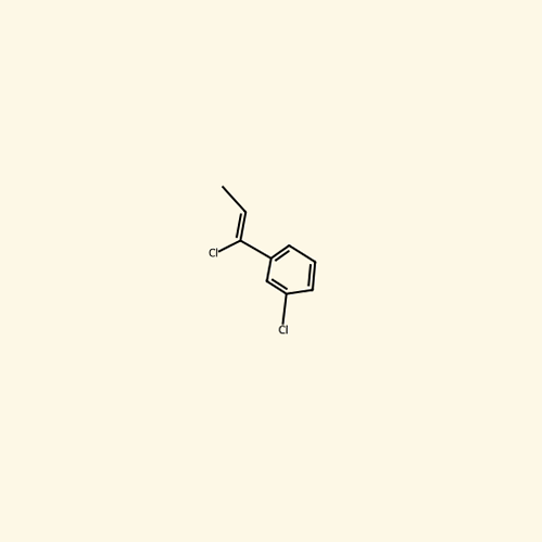 CC=C(Cl)c1cccc(Cl)c1